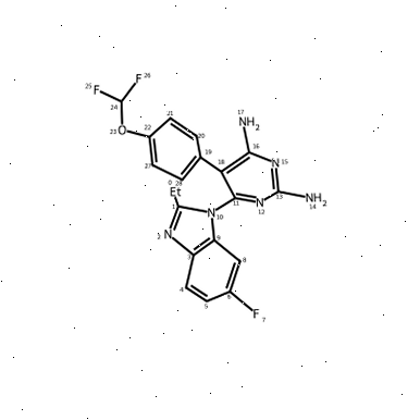 CCc1nc2ccc(F)cc2n1-c1nc(N)nc(N)c1-c1ccc(OC(F)F)cc1